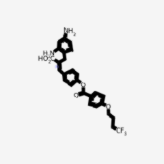 Nc1ccc(C/C(=C\c2ccc(OC(=O)c3ccc(OCCCC(F)(F)F)cc3)cc2)C(=O)O)c(N)c1